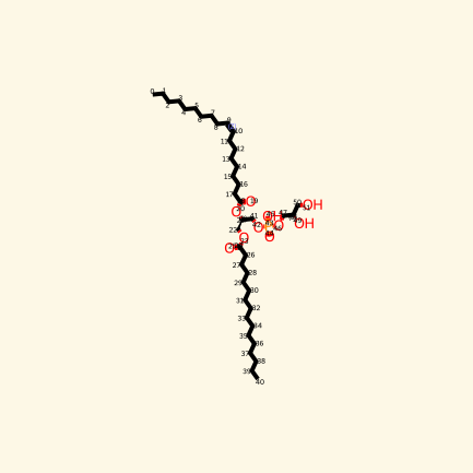 CCCCCCCCC/C=C\CCCCCCCC(=O)O[C@H](COC(=O)CCCCCCCCCCCCCCC)COP(=O)(O)OC[C@@H](O)CO